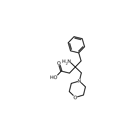 NC(CC(=O)O)(Cc1ccccc1)CN1CCOCC1